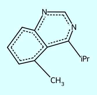 Cc1cccc2ncnc(C(C)C)c12